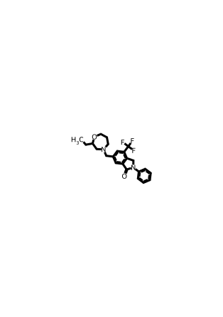 CCC1CN(Cc2cc3c(c(C(F)(F)F)c2)CN(c2ccccc2)C3=O)CCCO1